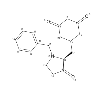 O=C1CC(=O)CC(C[C@H]2C(=O)CCN2Cc2ccccc2)C1